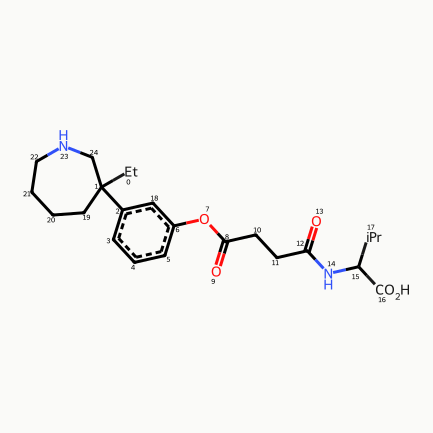 CCC1(c2cccc(OC(=O)CCC(=O)NC(C(=O)O)C(C)C)c2)CCCCNC1